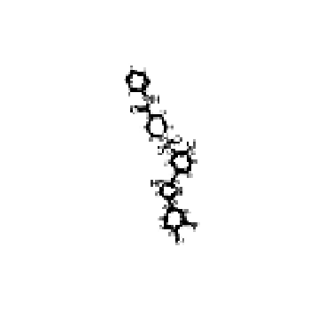 O=C(Nc1ccccc1)C1CCN(S(=O)(=O)c2cc(-c3nc(-c4ccc(Br)c(F)c4)c[nH]3)ccc2Cl)CC1